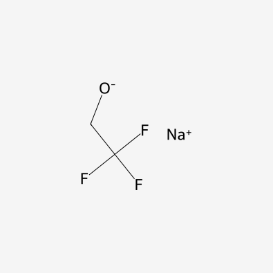 [Na+].[O-]CC(F)(F)F